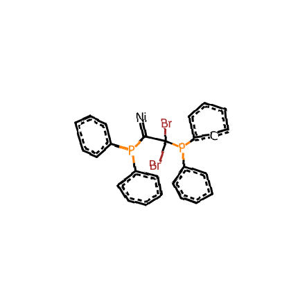 [Ni]=[C](P(c1ccccc1)c1ccccc1)C(Br)(Br)P(c1ccccc1)c1ccccc1